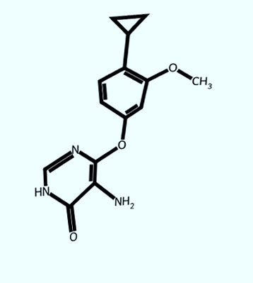 COc1cc(Oc2nc[nH]c(=O)c2N)ccc1C1CC1